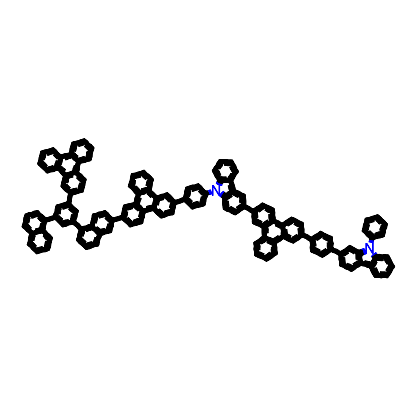 c1ccc(-n2c3ccccc3c3ccc(-c4ccc(-c5ccc6c7ccc(-c8ccc9c(c8)c8ccccc8n9-c8ccc(-c9ccc%10c%11ccc(-c%12ccc%13c(-c%14cc(-c%15ccc%16c%17ccccc%17c%17ccccc%17c%16c%15)cc(-c%15cccc%16ccccc%15%16)c%14)cccc%13c%12)cc%11c%11ccccc%11c%10c9)cc8)cc7c7ccccc7c6c5)cc4)cc32)cc1